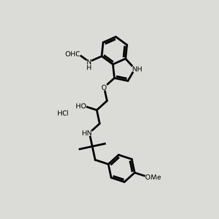 COc1ccc(CC(C)(C)NCC(O)COc2c[nH]c3cccc(NC=O)c23)cc1.Cl